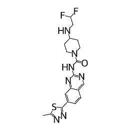 Cc1nnc(-c2ccc3cnc(NC(=O)N4CCC(NCC(F)F)CC4)nc3c2)s1